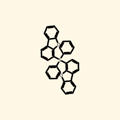 c1ccc(S(c2ccccc2)(c2cccc3c2oc2ccccc23)c2cccc3c2oc2ccccc23)cc1